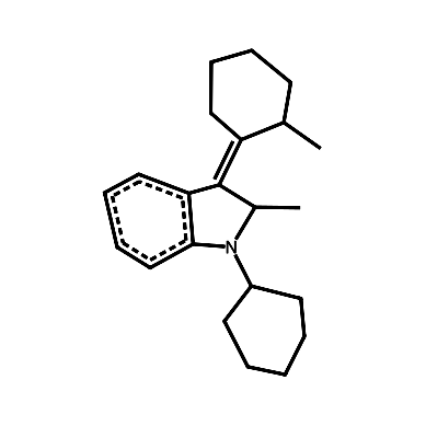 CC1CCCC/C1=C1\c2ccccc2N(C2CCCCC2)C1C